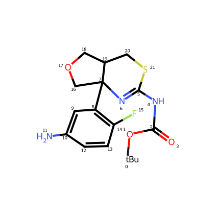 CC(C)(C)OC(=O)NC1=NC2(c3cc(N)ccc3F)COCC2CS1